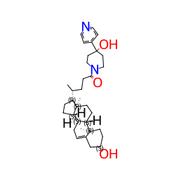 CC(CCC(=O)N1CCC(O)(c2ccncc2)CC1)[C@H]1CC[C@H]2[C@@H]3CC=C4C[C@@H](O)CC[C@]4(C)[C@H]3CC[C@]12C